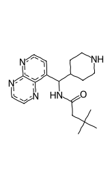 CC(C)(C)CC(=O)NC(c1ccnc2nccnc12)C1CCNCC1